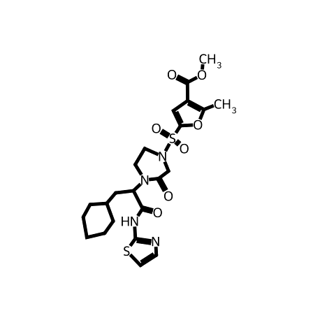 COC(=O)c1cc(S(=O)(=O)N2CCN(C(CC3CCCCC3)C(=O)Nc3nccs3)C(=O)C2)oc1C